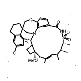 CO[C@H]1/C(C)=C/C(C)[C@H](C)[C@@H](C)S(=O)(=O)NC(=O)c2ccc3c(c2)N(C[C@@H]2CC[C@H]21)C[C@@]1(CCCc2cc(Cl)cc(F)c21)CO3